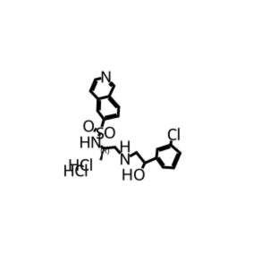 C[C@H](CNCC(O)c1cccc(Cl)c1)NS(=O)(=O)c1ccc2cnccc2c1.Cl.Cl